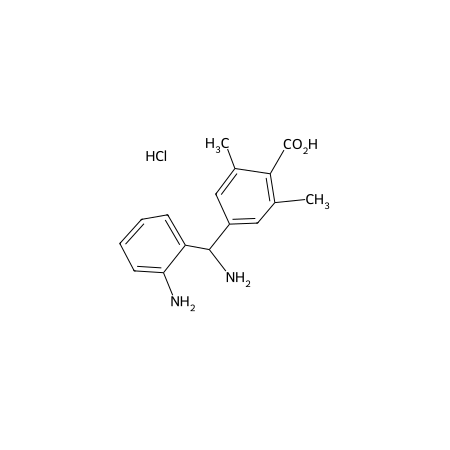 Cc1cc(C(N)c2ccccc2N)cc(C)c1C(=O)O.Cl